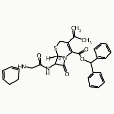 C=C(C)C1=C(C(=O)OC(c2ccccc2)c2ccccc2)N2C(=O)C(NC(=O)CNC3=CC=CCC3)[C@@H]2SC1